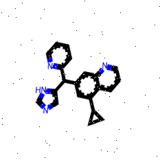 c1ccc(C(c2cc(C3CC3)c3cccnc3c2)c2cnc[nH]2)nc1